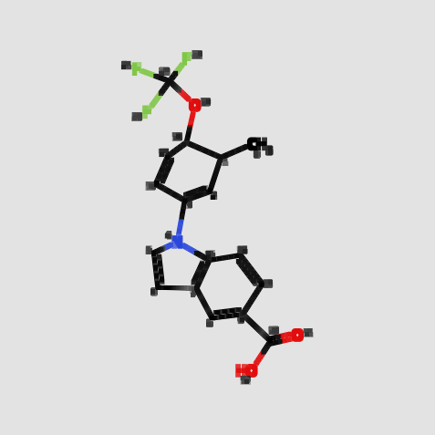 CC1C=C(n2ccc3cc(C(=O)O)ccc32)C=CC1OC(F)(F)F